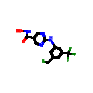 O=C(NO)c1cnc(Nc2cc(CF)cc(C(F)(F)F)c2)nc1